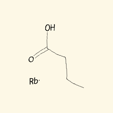 CCCC(=O)O.[Rb]